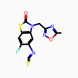 Cc1nc(Cn2c(=O)sc3cc(F)c(N=C=S)cc32)no1